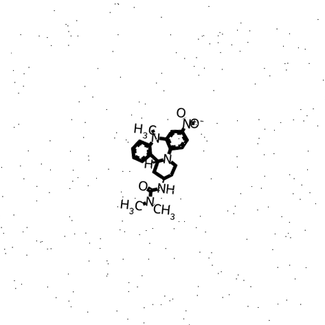 CN(C)C(=O)N[C@H]1CCN2c3ccc([N+](=O)[O-])cc3N(C)c3ccccc3[C@H]2C1